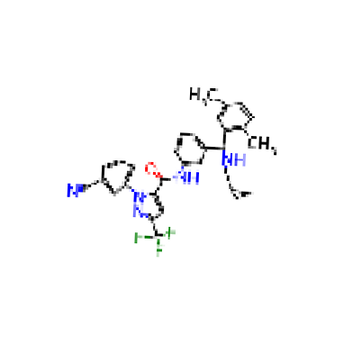 Cc1ccc(C)c(C(NCC2CC2)c2cccc(NC(=O)c3cc(C(F)(F)F)nn3-c3cccc(C#N)c3)c2)c1